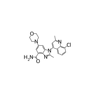 Cc1cc(-n2c(C)nc3c(C(N)=O)cc(N4CCOCC4)cc32)c2cccc(Cl)c2n1